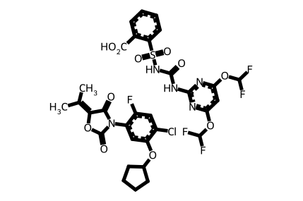 CC(C)=C1OC(=O)N(c2cc(OC3CCCC3)c(Cl)cc2F)C1=O.O=C(Nc1nc(OC(F)F)cc(OC(F)F)n1)NS(=O)(=O)c1ccccc1C(=O)O